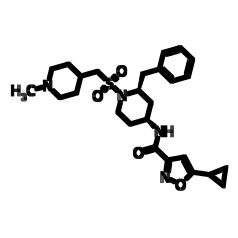 CN1CCC(CS(=O)(=O)N2CC[C@H](NC(=O)c3cc(C4CC4)on3)C[C@@H]2Cc2ccccc2)CC1